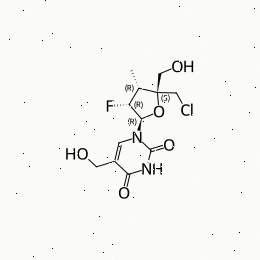 C[C@H]1[C@@H](F)[C@H](n2cc(CO)c(=O)[nH]c2=O)O[C@@]1(CO)CCl